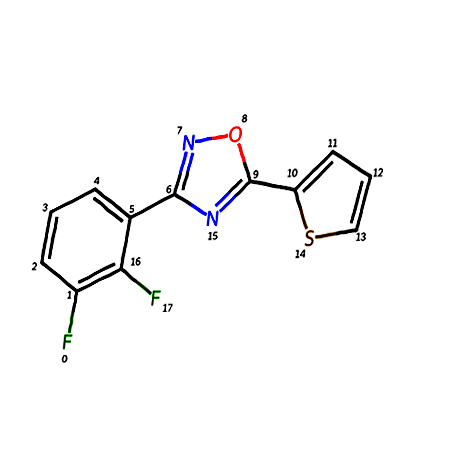 Fc1cccc(-c2noc(-c3cccs3)n2)c1F